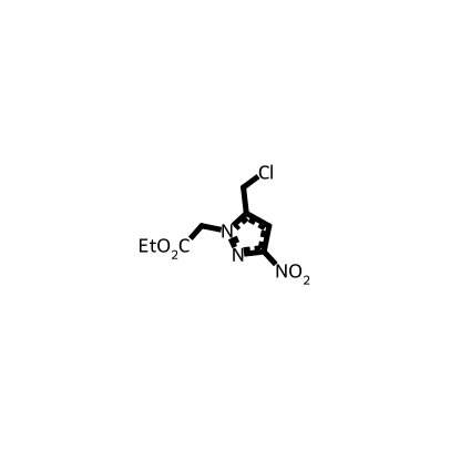 CCOC(=O)Cn1nc([N+](=O)[O-])cc1CCl